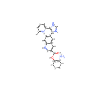 Cc1cccc(-c2[nH]cnc2-c2ccc3ncc(C(=O)O[C@@H]4CCCC[C@H]4N)cc3c2)n1